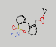 NS(=O)(=O)c1ccccc1-c1ccccc1COC1CC1